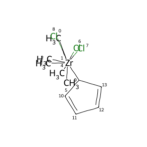 [CH3][Zr]([CH3])([CH3])([CH3])([CH3])([Cl])([Cl])([Cl])[CH]1C=CC=C1